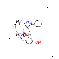 Cc1nn(C2CCCCC2)c2c1C[C@@]1(O)[C@H]3Cc4ccc(O)cc4[C@@]1(CCN3CC1CC1)C2